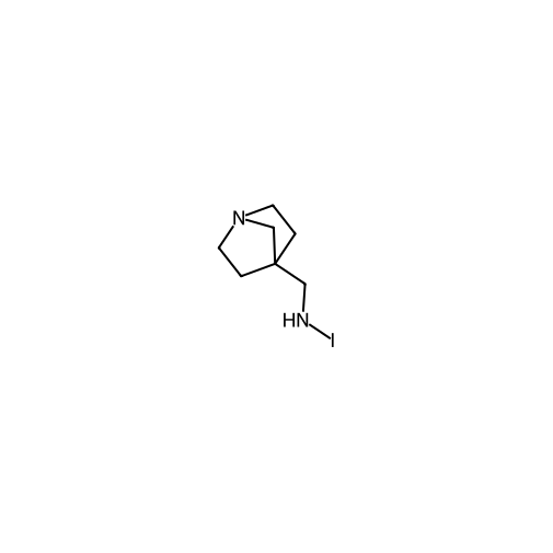 INCC12CCN(CC1)C2